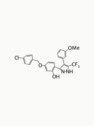 COc1cccc(-c2c(-c3ccc(OCc4ccc(Cl)cc4)cc3O)n[nH]c2C(F)(F)F)c1